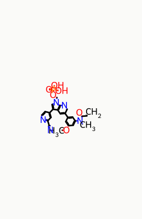 C=CC(=O)N(C)c1cc(OC)cc(-c2cnc3c(c2)c(-c2ccnc(C#N)c2)cn3COP(=O)(O)O)c1